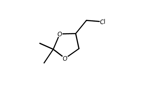 CC1(C)OCC(CCl)O1